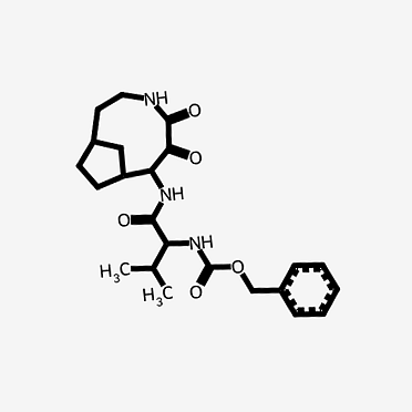 CC(C)C(NC(=O)OCc1ccccc1)C(=O)NC1C(=O)C(=O)NCCC2CCC1C2